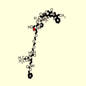 CCc1c2c(nc3ccccc13)-c1cc3c(c(=O)n1C2)COC(=O)[C@@]3(CC)OC(=O)[C@@H](NC(=O)[C@@H]1CCCN1C(=O)[C@H](CC(=O)O)NC(=O)CCOCCOCCOCCNC(=O)[C@H](CCCCNC(=O)OCc1ccccc1)NC(=O)OC(C)(C)C)C(C)C